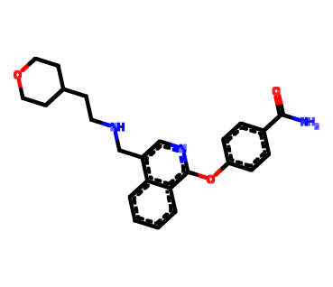 NC(=O)c1ccc(Oc2ncc(CNCCC3CCOCC3)c3ccccc23)cc1